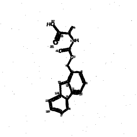 CC(NC(=O)OCc1cccc2c1Cc1ccccc1-2)C(=O)O